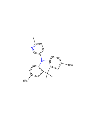 Cc1ccc(N2c3ccc(C(C)(C)C)cc3C(C)(C)c3cc(C(C)(C)C)ccc32)cn1